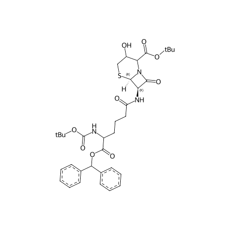 CC(C)(C)OC(=O)NC(CCCC(=O)N[C@@H]1C(=O)N2C(C(=O)OC(C)(C)C)C(O)CS[C@H]12)C(=O)OC(c1ccccc1)c1ccccc1